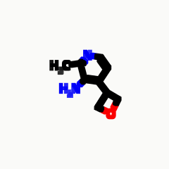 Cc1nccc(C2COC2)c1N